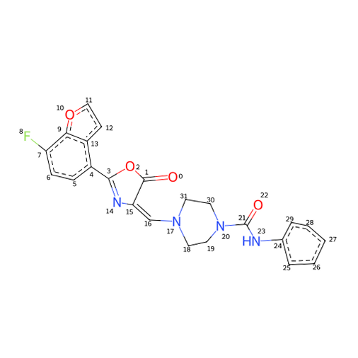 O=C1OC(c2ccc(F)c3occc23)=N/C1=C/N1CCN(C(=O)Nc2ccccc2)CC1